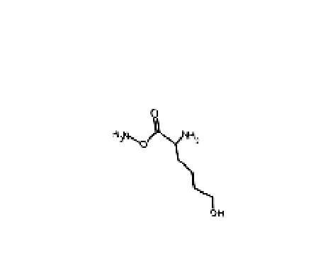 NOC(=O)C(N)CCCCO